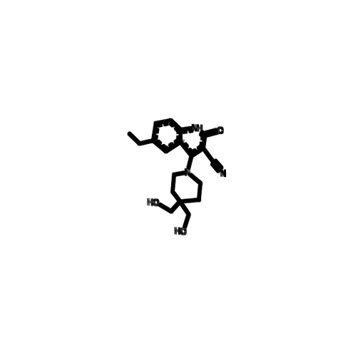 CCc1ccc2[nH]c(=O)c(C#N)c(N3CCC(CO)(CO)CC3)c2c1